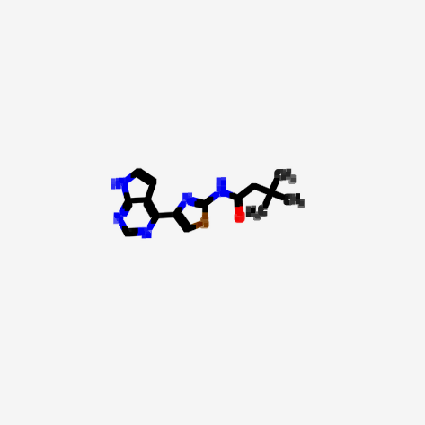 CC(C)(C)CC(=O)Nc1nc(-c2ncnc3[nH]ccc23)cs1